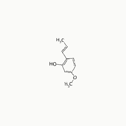 C/C=C/c1ccc(OC)cc1O